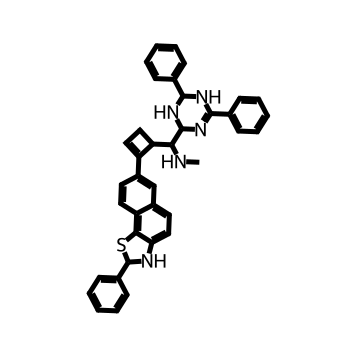 CNC(C1N=C(c2ccccc2)NC(c2ccccc2)N1)C1CC=C1c1ccc2c3c(ccc2c1)NC(c1ccccc1)S3